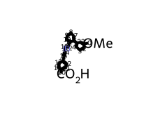 COc1cccc(-c2ccccc2/C=C/C#Cc2ccc(C(=O)O)cc2)c1